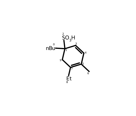 CCCCC1(S(=O)(=O)O)C=CC(C)=C(CC)C1